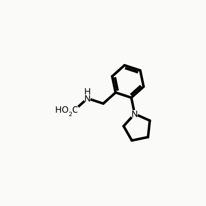 O=C(O)NCc1ccccc1N1CCCC1